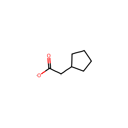 [O]C(=O)[CH]C1CCCC1